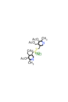 CC(=O)OCc1c(CSSCc2cnc(C)c(OC(C)=O)c2COC(C)=O)cnc(C)c1OC(C)=O.Cl.Cl